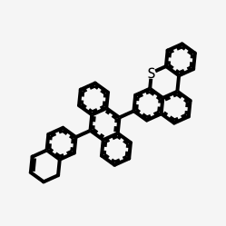 C1=Cc2ccc(-c3c4ccccc4c(-c4cc5c6c(cccc6c4)-c4ccccc4S5)c4ccccc34)cc2CC1